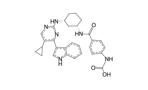 O=C(O)Nc1ccc(C(=O)N[C@H]2CCC[C@@H](Nc3ncc(C4CC4)c(-c4c[nH]c5ccccc45)n3)C2)cc1